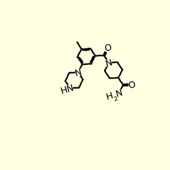 Cc1cc(C(=O)N2CCC(C(N)=O)CC2)cc(N2CCNCC2)c1